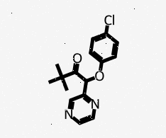 CC(C)(C)C(=O)C(Oc1ccc(Cl)cc1)c1cnccn1